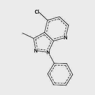 Cc1nn(-c2ccccc2)c2nccc(Cl)c12